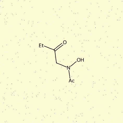 CCC(=O)CN(O)C(C)=O